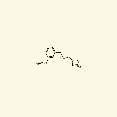 CNCc1cccc(CNCC2CNC2)c1